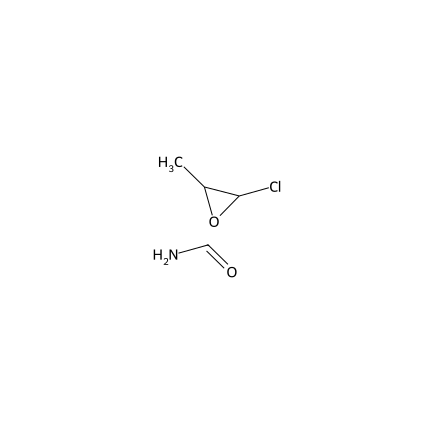 CC1OC1Cl.NC=O